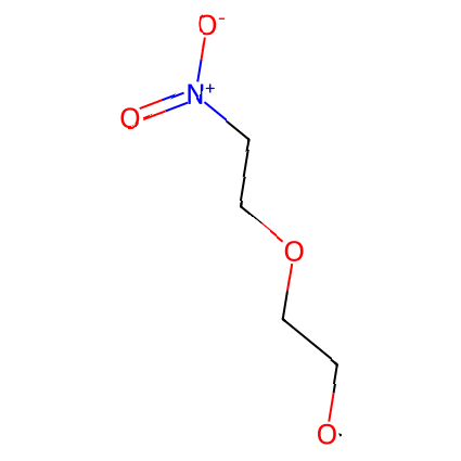 [O]CCOCC[N+](=O)[O-]